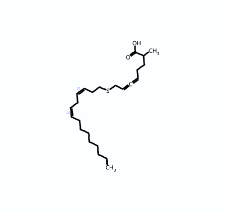 CCCCCCCC/C=C\C/C=C\CCSCC=C=CCCC(C)C(=O)O